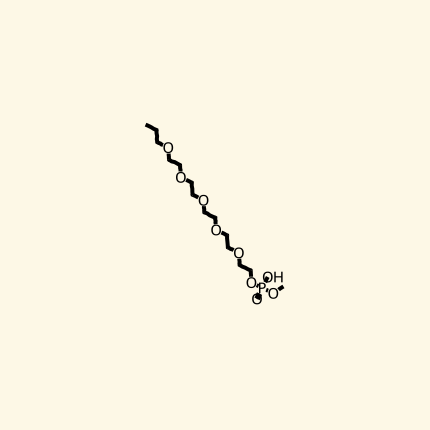 CCCOCCOCCOCCOCCOCCOP(=O)(O)OC